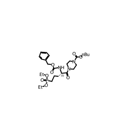 CCCCOC(=O)N1CCN(C(=O)[C@H](CCCP(=O)(OCC)OCC)NC(=O)OCc2ccccc2)CC1